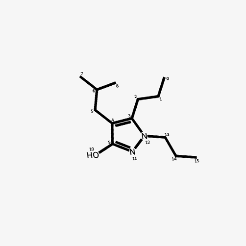 CCCc1c(CC(C)C)c(O)nn1CCC